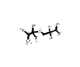 FC(F)C(F)(F)COC(F)(F)C(F)C(F)(F)F